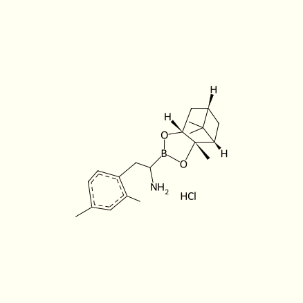 Cc1ccc(CC(N)B2O[C@@H]3C[C@@H]4C[C@@H](C4(C)C)[C@]3(C)O2)c(C)c1.Cl